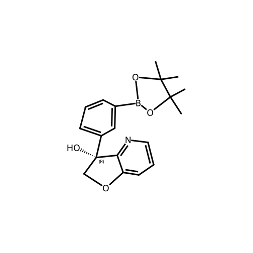 CC1(C)OB(c2cccc([C@]3(O)COc4cccnc43)c2)OC1(C)C